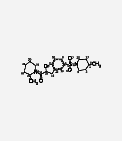 CC1CCN(S(=O)(=O)c2ccc3c(c2)CC(C(=O)N2CCCCC2C)O3)CC1